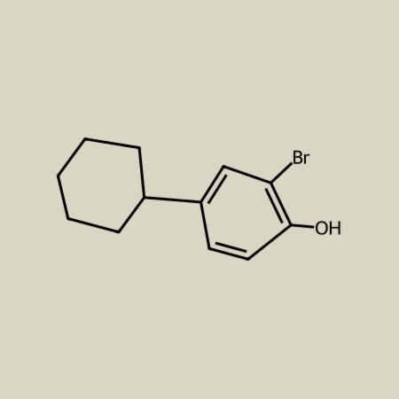 Oc1ccc(C2CCCCC2)cc1Br